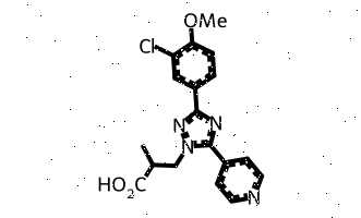 COc1ccc(-c2nc(-c3ccncc3)n(CC(C)C(=O)O)n2)cc1Cl